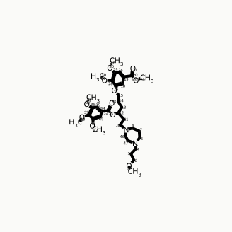 COCCCN1CCCN(CCC(CCCOc2cc(C(=O)OC)cc(OC)c2OC)OC(=O)c2cc(OC)c(OC)c(OC)c2)CC1